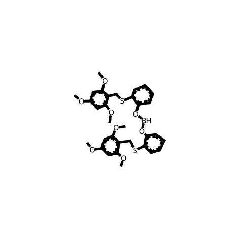 COc1cc(OC)c(CSc2ccccc2OBOc2ccccc2SCc2c(OC)cc(OC)cc2OC)c(OC)c1